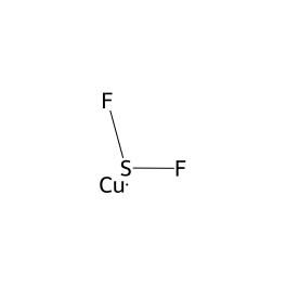 FSF.[Cu]